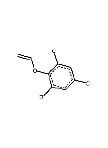 C=COc1c(Cl)cc(Cl)cc1Cl